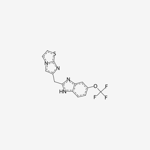 FC(F)(F)Oc1ccc2[nH]c(Cc3cn4ccsc4n3)nc2c1